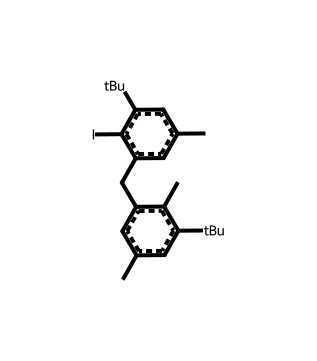 Cc1cc(Cc2cc(C)cc(C(C)(C)C)c2I)c(C)c(C(C)(C)C)c1